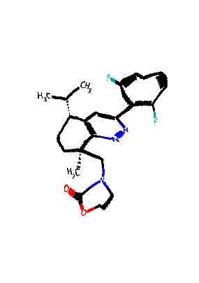 CC(C)[C@H]1CC[C@](C)(CN2CCOC2=O)c2nnc(-c3c(F)cccc3F)cc21